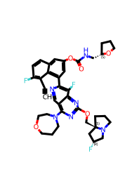 C#Cc1c(F)ccc2cc(OC(=O)NC[C@@H]3CCCO3)cc(-c3ncc4c(N5CCCOCC5)nc(OC[C@@]56CCCN5C[C@H](F)C6)nc4c3F)c12